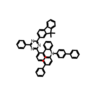 CC1(C)c2ccccc2-c2ccc(-c3nc(-c4ccccc4)nc(-c4ccccc4-c4ccccc4N(c4ccc(-c5ccccc5)cc4)c4ccc(-c5ccccc5)cc4)n3)cc21